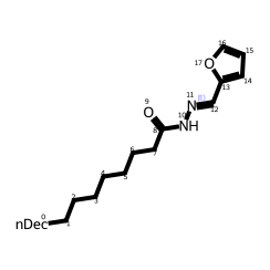 CCCCCCCCCCCCCCCCCC(=O)N/N=C/c1ccco1